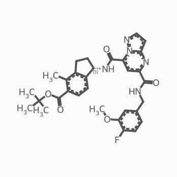 COc1cc(CNC(=O)c2cc(C(=O)N[C@H]3CCc4c3ccc(C(=O)OC(C)(C)C)c4C)n3nccc3n2)ccc1F